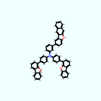 c1cc(-c2ccc3oc4cc5ccccc5cc4c3c2)cc(N(c2ccc(-c3cccc4c3oc3ccccc34)cc2)c2ccc(-c3cccc4c3oc3ccccc34)cc2)c1